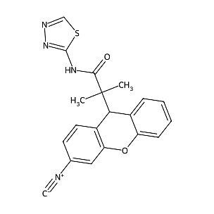 [C-]#[N+]c1ccc2c(c1)Oc1ccccc1C2C(C)(C)C(=O)Nc1nncs1